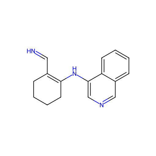 N=CC1=C(Nc2cncc3ccccc23)CCCC1